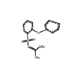 CSC(=NS(=O)(=O)c1ccccc1Oc1ccccc1)SC